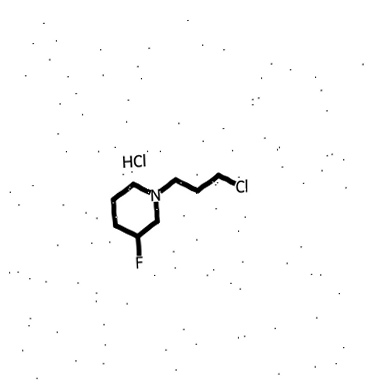 Cl.FC1CCCN(CCCCl)C1